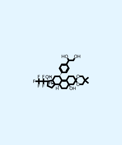 CC1(C)COC2(CCC3=C4[C@@H](CC[C@@]3(O)C2)[C@@H]2CC[C@@](O)(C(F)(F)C(F)(F)F)[C@@]2(C)C[C@@H]4c2ccc(C(O)CO)cc2)OC1